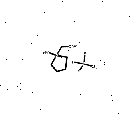 CCC[N+]1(COC)CCCC1.F[B-](F)(F)C(F)(F)F